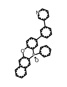 O=P1(c2ccccc2)c2cc(-c3cccc(-c4cccnc4)c3)ccc2Oc2cc3ccccc3cc21